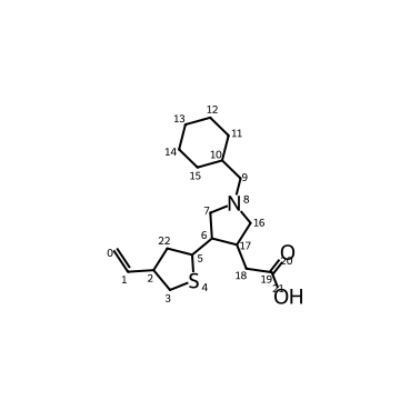 C=CC1CSC(C2CN(CC3CCCCC3)CC2CC(=O)O)C1